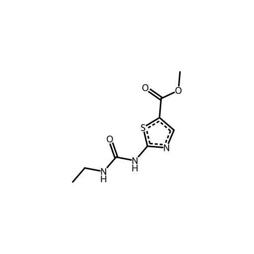 CCNC(=O)Nc1ncc(C(=O)OC)s1